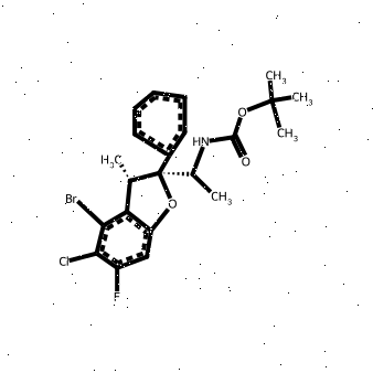 CC(NC(=O)OC(C)(C)C)[C@]1(c2ccccc2)Oc2cc(F)c(Cl)c(Br)c2[C@@H]1C